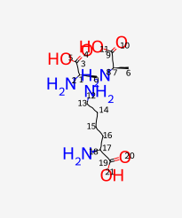 C[C@@H](N)C(=O)O.C[C@@H](N)C(=O)O.NCCCC[C@H](N)C(=O)O